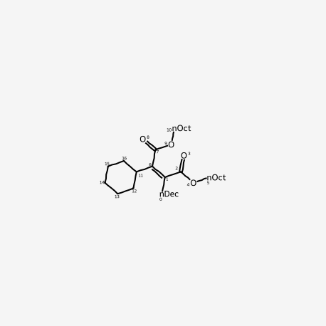 CCCCCCCCCC/C(C(=O)OCCCCCCCC)=C(/C(=O)OCCCCCCCC)C1CCCCC1